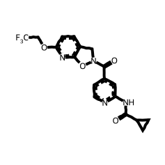 O=C(Nc1cc(C(=O)N2Cc3ccc(OCC(F)(F)F)nc3O2)ccn1)C1CC1